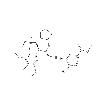 COC(=O)c1ccc(N)c(C#CC[C@H](OC2CCCC2)[C@H](O[Si](C)(C)C(C)(C)C)c2cc(OC)c(C)c(OC)c2)n1